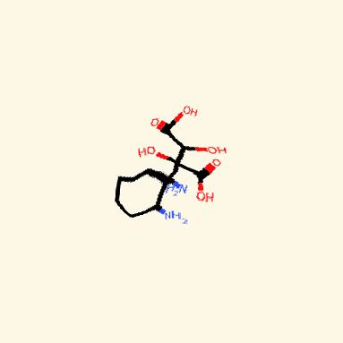 NC1CCCCC1(N)C(O)(C(=O)O)C(O)C(=O)O